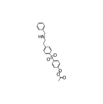 CC(=O)OOc1ccc(S(=O)(=O)c2ccc(CCNCc3ccccc3)cc2)cc1